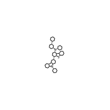 c1ccc(-c2cccc(N(c3ccccc3)c3ccc(-c4ccc5c(c4)c4ccccc4n5-c4ccccc4)c4sc5ccccc5c34)c2)cc1